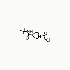 CC(C)(C)NC(=O)C1CCN(C(=O)CCl)CC1